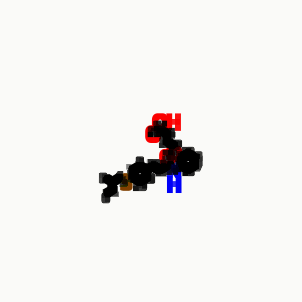 CCC(C)CSc1ccc(C=CC(=O)Nc2ccccc2OCCCC(=O)O)cc1